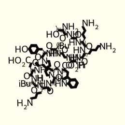 CC[C@H](C)[C@H](NC(=O)CNC(=O)[C@@H](NC(=O)[C@H](CCCCN)NC(=O)[C@H](CCCCN)NC(=O)CNC(=O)[C@@H](N)[C@@H](C)O)C(C)C)C(=O)N[C@@H](Cc1ccc(O)cc1)C(=O)N1CCC[C@H]1C(=O)N[C@@H](CCC(=O)O)C(=O)N[C@H](C(=O)N[C@@H](CCCCN)C(=O)N[C@@H](C)C(=O)N1CCC[C@H]1C(=O)N[C@@H](Cc1c[nH]c2ccccc12)C(=O)O)[C@@H](C)CC